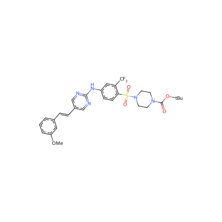 COc1cccc(C=Cc2cnc(Nc3ccc(S(=O)(=O)N4CCN(C(=O)OC(C)(C)C)CC4)c(C(F)(F)F)c3)nc2)c1